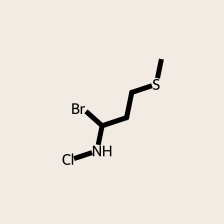 CSCCC(Br)NCl